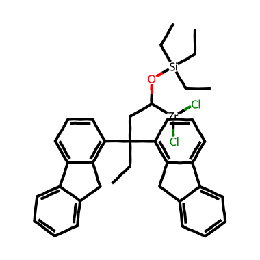 CCC(C[CH](O[Si](CC)(CC)CC)[Zr]([Cl])[Cl])(c1cccc2c1Cc1ccccc1-2)c1cccc2c1Cc1ccccc1-2